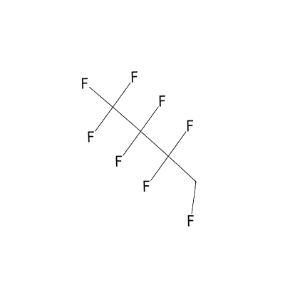 FCC(F)(F)C(F)(F)C(F)(F)F